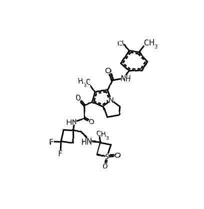 Cc1ccc(NC(=O)c2c(C)c(C(=O)C(=O)NC3(CNC4(C)CS(=O)(=O)C4)CC(F)(F)C3)c3n2CCC3)cc1Cl